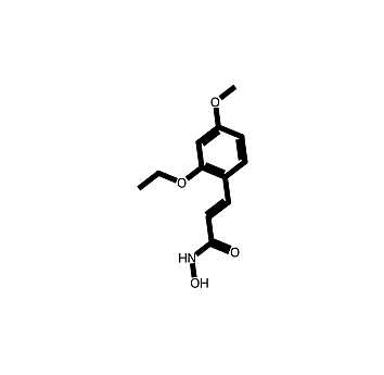 CCOc1cc(OC)ccc1/C=C/C(=O)NO